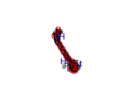 CCc1c2c(nc3ccc(C)cc13)-c1cc3c(c(=O)n1C2)COC(=O)C3(CC)OC(=O)OCC(NC(=O)COCC(=O)NCCOCCOCCOCCOCCOCCOCCOCCOCCn1cc(CNC(=O)C2CCC(CN3C(=O)CC(C)C3=O)CC2)nn1)C(C)C